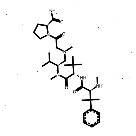 CN[C@H](C(=O)N[C@H](C(=O)N(C)[C@H](CN(C)CC(=O)N1CCC[C@H]1C(N)=O)C(C)C)C(C)(C)C)C(C)(C)c1ccccc1